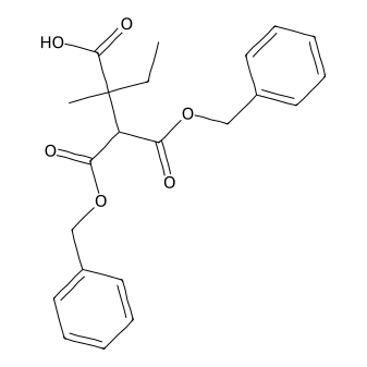 CCC(C)(C(=O)O)C(C(=O)OCc1ccccc1)C(=O)OCc1ccccc1